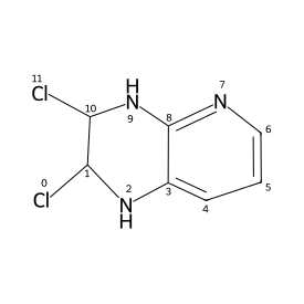 ClC1Nc2cccnc2NC1Cl